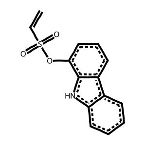 C=CS(=O)(=O)Oc1cccc2c1[nH]c1ccccc12